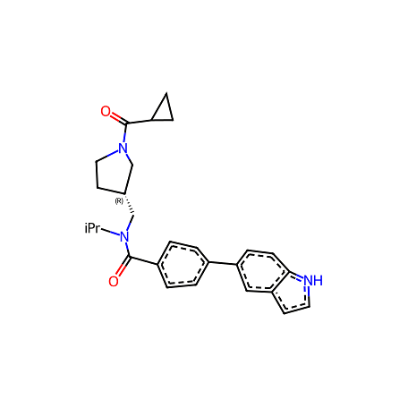 CC(C)N(C[C@@H]1CCN(C(=O)C2CC2)C1)C(=O)c1ccc(-c2ccc3[nH]ccc3c2)cc1